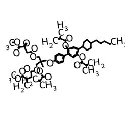 C=C(C)C(=O)OCC(COC(=O)CC(=C)C(=O)OC)(COC(=O)CC(=O)C(=O)OC)COc1ccc(-c2cc(OC(=O)C(=C)C)c(C3CCC(CCCCC)CC3)cc2OC(=O)C(=C)C)cc1